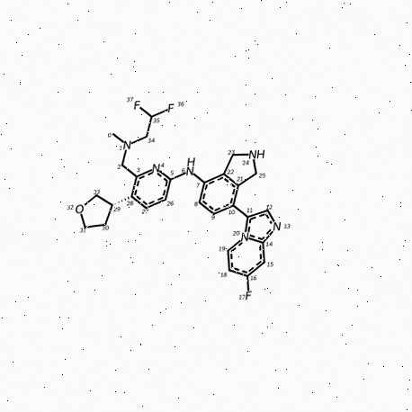 CN(Cc1nc(Nc2ccc(-c3cnc4cc(F)ccn34)c3c2CNC3)ccc1[C@@H]1CCOC1)CC(F)F